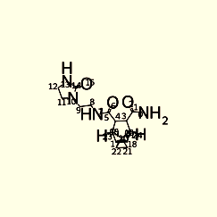 NC(=O)C1C(C(=O)NCCN2CCNC2=O)[C@H]2C=C[C@@H]1C21CC1